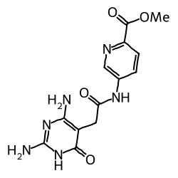 COC(=O)c1ccc(NC(=O)Cc2c(N)nc(N)[nH]c2=O)cn1